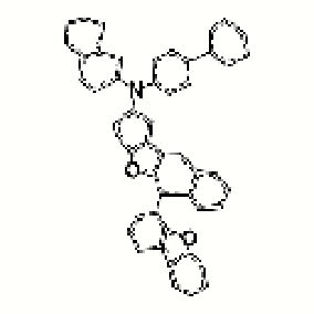 c1ccc(-c2ccc(N(c3ccc4ccccc4c3)c3ccc4oc5c(-c6cccc7c6oc6ccccc67)c6ccccc6cc5c4c3)cc2)cc1